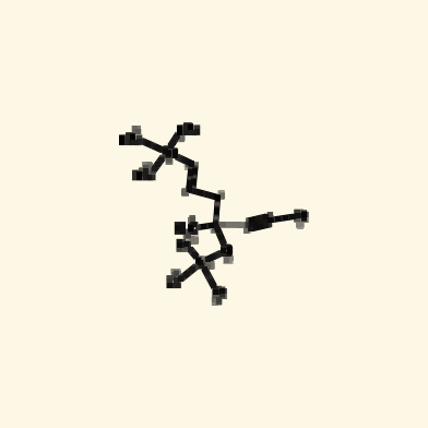 CCC#CC(C)(C/C=[CH]/[Sn]([CH2]CCC)([CH2]CCC)[CH2]CCC)O[Si](CC)(CC)CC